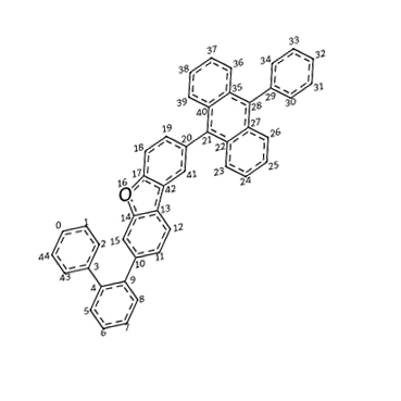 c1ccc(-c2ccccc2-c2ccc3c(c2)oc2ccc(-c4c5ccccc5c(-c5ccccc5)c5ccccc45)cc23)cc1